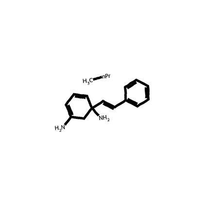 CCCC.NC1=CC=CC(N)(C=Cc2ccccc2)C1